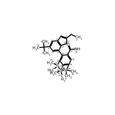 CCC1=Cc2cc(C(C)(C)C)cc(-c3c(C([NH])=O)cc4c(Br)c3[Si](C)(C)[Si](C)(C)[Si]4(C)C)c2C1